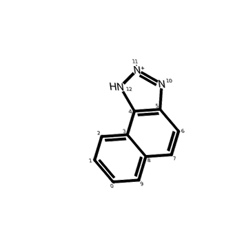 c1ccc2c3c(ccc2c1)N=[N+]N3